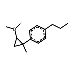 CCCc1ccc(C2(C)CC2B(C)I)cc1